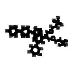 C[Si](C)(C)CCOCN(COCC[Si](C)(C)C)c1cc(C2CCCCC2)nc2c(-c3ccc(-c4ccccc4)nc3)cnn12